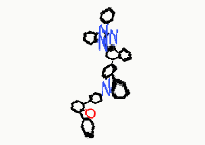 c1ccc(-n2c3ccccc3n3c4c(nc23)-c2ccccc2C(c2ccc3c(c2)c2ccccc2n3-c2ccc(-c3cccc5c3oc3ccccc35)cc2)C4)cc1